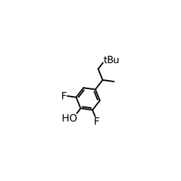 CC(CC(C)(C)C)c1cc(F)c(O)c(F)c1